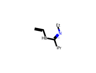 C=CB/C(=N\CC)C(C)C